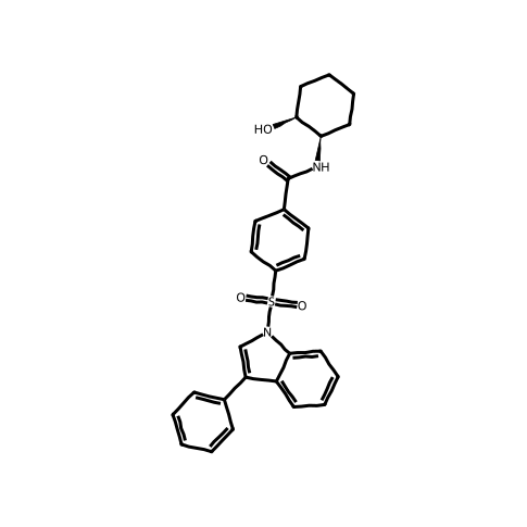 O=C(N[C@@H]1CCCC[C@@H]1O)c1ccc(S(=O)(=O)n2cc(-c3ccccc3)c3ccccc32)cc1